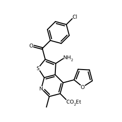 CCOC(=O)c1c(C)nc2sc(C(=O)c3ccc(Cl)cc3)c(N)c2c1-c1ccco1